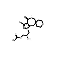 CCc1nn(C[C@@H](C)COC(=O)C(C)C)c2c1C(=O)NCC1(CCOCC1)C2